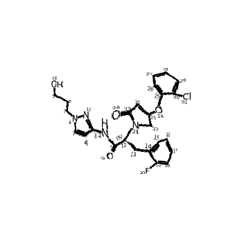 O=C(Nc1ccn(CCCO)n1)[C@H](Cc1ccccc1F)N1CC(Oc2ccccc2Cl)=CC1=O